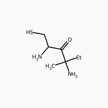 CCC(C)(N)C(=O)C(N)CS